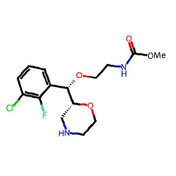 COC(=O)NCCO[C@@H](c1cccc(Cl)c1F)[C@H]1CNCCO1